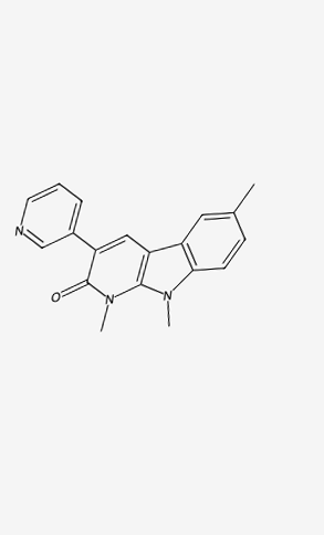 Cc1ccc2c(c1)c1cc(-c3cccnc3)c(=O)n(C)c1n2C